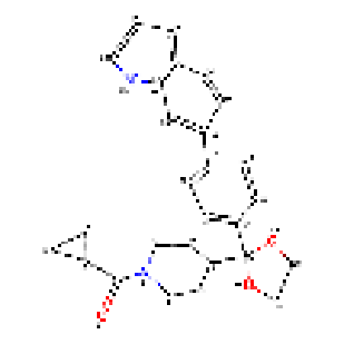 O=C(C1CC1)N1CCC(C2(c3ccc(-c4ccc5cccnc5c4)cc3)OCCO2)CC1